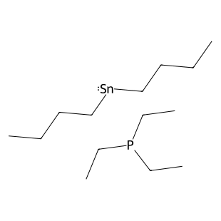 CCC[CH2][Sn][CH2]CCC.CCP(CC)CC